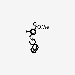 COC(=O)c1ccc(CN2CCC3(CC2)C2CC4CC(C2)CC3C4)c(F)c1